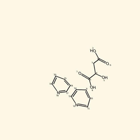 O=C(O)CC(O)C(=O)O.c1ccncc1.c1ccncc1